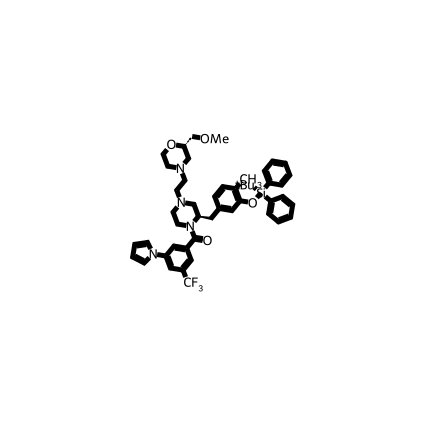 COC[C@@H]1CN(CCN2CCN(C(=O)c3cc(-n4cccc4)cc(C(F)(F)F)c3)[C@H](Cc3ccc(C)c(O[Si](c4ccccc4)(c4ccccc4)C(C)(C)C)c3)C2)CCO1